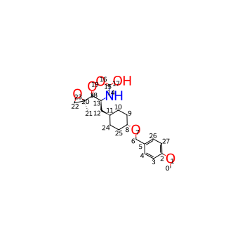 COc1ccc(CO[C@H]2CC[C@H](C[C@H](NC(=O)O)C(=O)[C@@]3(C)CO3)CC2)cc1